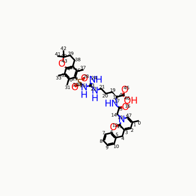 Cc1cc(Cc2ccccc2)c(=O)n(CC(=O)N[C@@H](CCCNC(=N)NS(=O)(=O)c2c(C)c(C)c3c(c2C)CCC(C)(C)O3)C(=O)O)c1